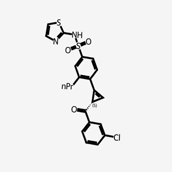 CCCc1cc(S(=O)(=O)Nc2nccs2)ccc1C1=C[C@@H]1C(=O)c1cccc(Cl)c1